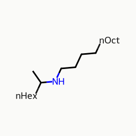 CCCCCCCCCCCCNC(C)CCCCCC